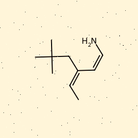 C/C=C(\C=C/N)CC(C)(C)C